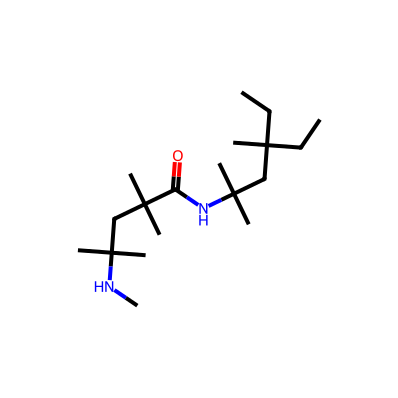 CCC(C)(CC)CC(C)(C)NC(=O)C(C)(C)CC(C)(C)NC